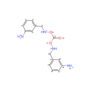 Nc1cccc(CNOC(=O)ONCc2cccc(N)c2)c1